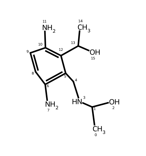 CC(O)NCc1c(N)ccc(N)c1C(C)O